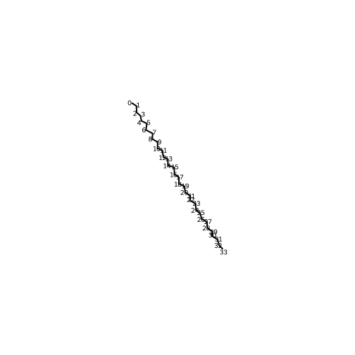 CCCCCCCCCCC[CH]CCCCCCCCCCCCCCCCCCCCCC